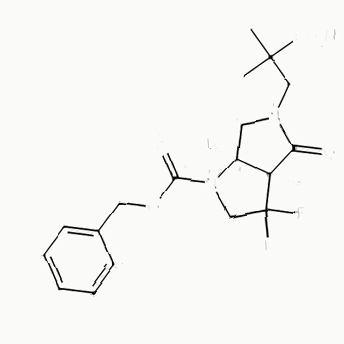 CC(C)(CN1C[C@H]2[C@@H](C1=O)C(F)(F)CN2C(=O)OCc1ccccc1)C(=O)O